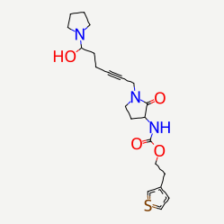 O=C(NC1CCN(CC#CCCC(O)N2CCCC2)C1=O)OCCc1ccsc1